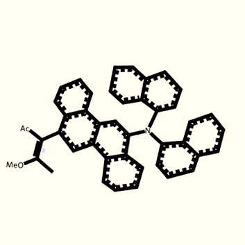 CO/C(C)=C(\C(C)=O)c1cc2c3ccccc3c(N(c3cccc4ccccc34)c3cccc4ccccc34)cc2c2ccccc12